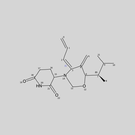 C=C/C=C1\C(=C)C([C@H](C)C(C)C)OCN1C1CCC(=O)NC1=O